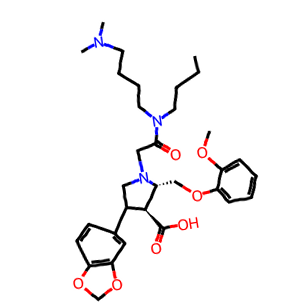 CCCCN(CCCCN(C)C)C(=O)CN1CC(c2ccc3c(c2)OCO3)[C@H](C(=O)O)[C@H]1COc1ccccc1OC